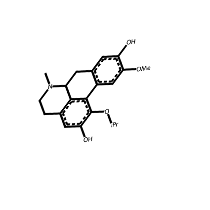 COc1cc2c(cc1O)CC1c3c(cc(O)c(OC(C)C)c3-2)CCN1C